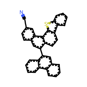 N#Cc1ccc2cc(-c3cc4ccccc4c4ccccc34)c3ccc4c5ccccc5sc4c3c2c1